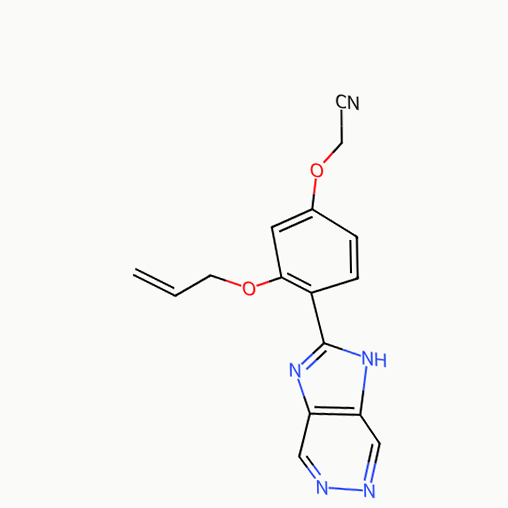 C=CCOc1cc(OCC#N)ccc1-c1nc2cnncc2[nH]1